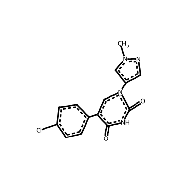 Cn1cc(-n2cc(-c3ccc(Cl)cc3)c(=O)[nH]c2=O)cn1